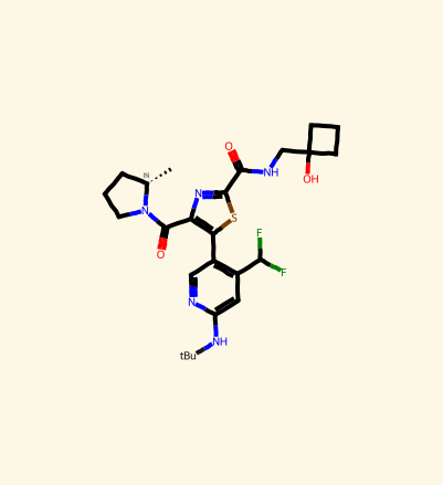 C[C@H]1CCCN1C(=O)c1nc(C(=O)NCC2(O)CCC2)sc1-c1cnc(NC(C)(C)C)cc1C(F)F